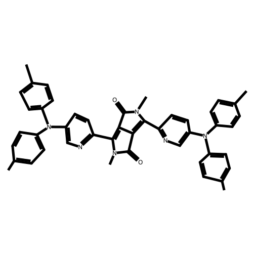 Cc1ccc(N(c2ccc(C)cc2)c2ccc(C3=C4C(=O)N(C)C(c5ccc(N(c6ccc(C)cc6)c6ccc(C)cc6)cn5)=C4C(=O)N3C)nc2)cc1